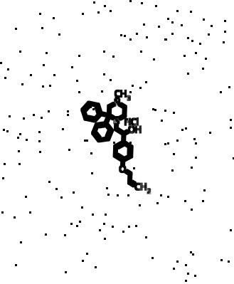 C=CCOc1ccc(C(O)CN2CCN(C)CC2(c2ccccc2)c2ccccc2)cc1.Cl